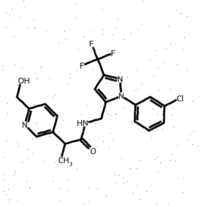 CC(C(=O)NCc1cc(C(F)(F)F)nn1-c1cccc(Cl)c1)c1ccc(CO)nc1